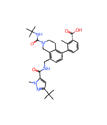 Cc1c(C(=O)O)cccc1-c1ccc(CNC(=O)c2cc(C(C)(C)C)nn2C)c2c1CCN(C(=O)NC(C)(C)C)C2